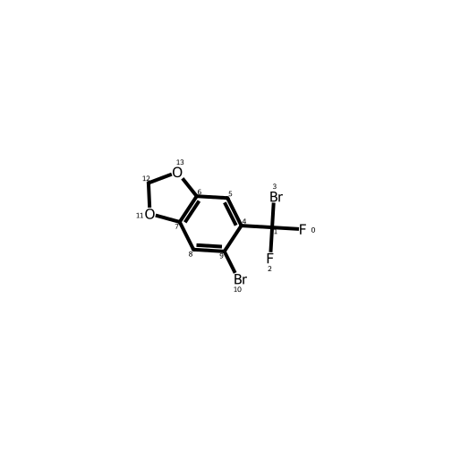 FC(F)(Br)c1cc2c(cc1Br)OCO2